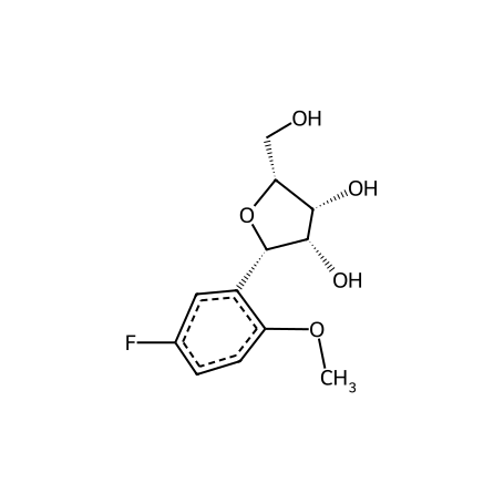 COc1ccc(F)cc1[C@@H]1O[C@H](CO)[C@H](O)[C@@H]1O